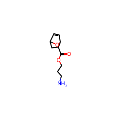 NCCCOC(=O)C1CC2C=CC1O2